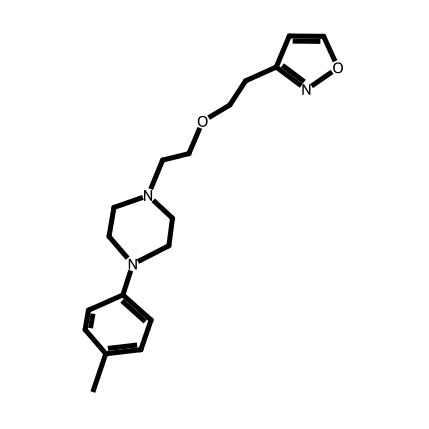 Cc1ccc(N2CCN(CCOCCc3ccon3)CC2)cc1